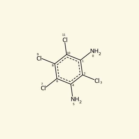 Nc1c(Cl)c(N)c(Cl)c(Cl)c1Cl